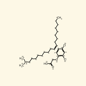 CCCCCCCC/C=C\CCCCCCCCN(C)C.O=C(O)COc1ccc(Cl)cc1Cl